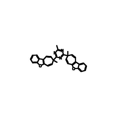 Cc1nc(C2(C)C=Cc3oc4ccccc4c3C=C2)nc(C2(C)C=Cc3oc4ccccc4c3C=C2)n1